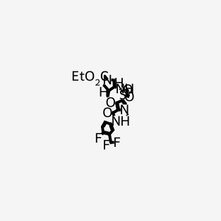 CCOC(=O)N1C[C@@H]2COc3c(cn(C)c3C(=O)Nc3ccc(F)c(C(F)F)c3)S(=O)(=O)N[C@@H]2C1